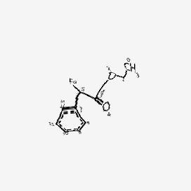 CCOC(=O)C(F)c1ccccc1